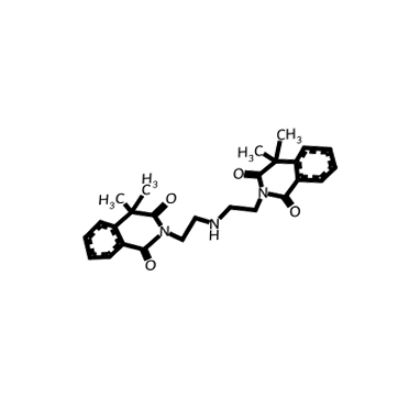 CC1(C)C(=O)N(CCNCCN2C(=O)c3ccccc3C(C)(C)C2=O)C(=O)c2ccccc21